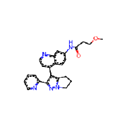 COCCC(=O)Nc1ccc2c(-c3c(-c4ccccn4)nn4c3CCC4)ccnc2c1